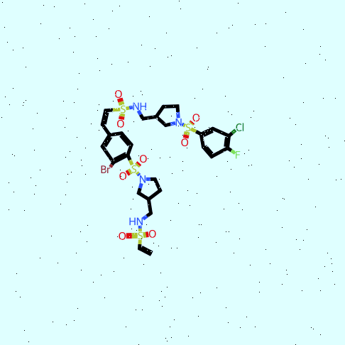 C=CS(=O)(=O)NCC1CCN(S(=O)(=O)c2ccc(/C=C\S(=O)(=O)NCC3CCN(S(=O)(=O)c4ccc(F)c(Cl)c4)C3)cc2Br)C1